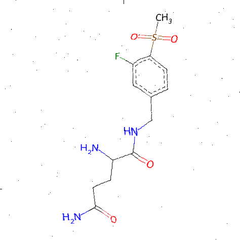 CS(=O)(=O)c1ccc(CNC(=O)C(N)CCC(N)=O)cc1F